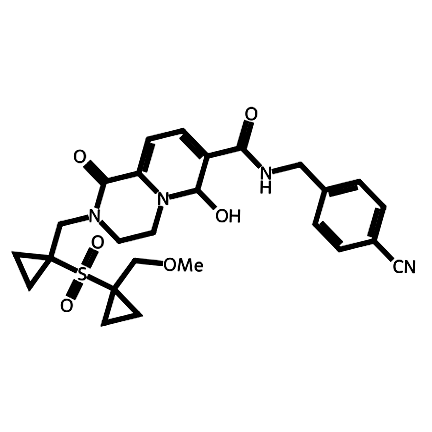 COCC1(S(=O)(=O)C2(CN3CCN4C(=CC=C(C(=O)NCc5ccc(C#N)cc5)C4O)C3=O)CC2)CC1